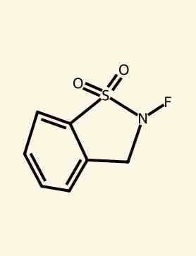 O=S1(=O)c2ccccc2CN1F